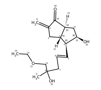 C=C1C[C@H]2[C@H](C=CCC(C)(O)COCC)[C@H](O)C[C@@H]2C1=O